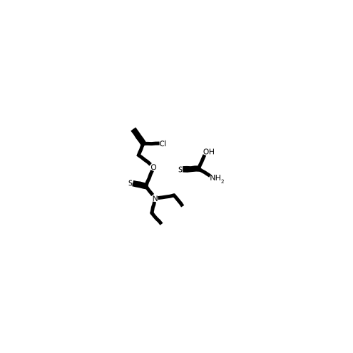 C=C(Cl)COC(=S)N(CC)CC.NC(O)=S